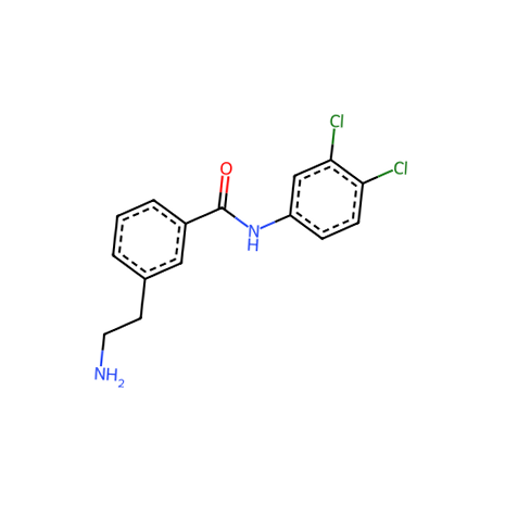 NCCc1cccc(C(=O)Nc2ccc(Cl)c(Cl)c2)c1